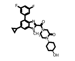 Cn1c(C(=O)N2CCN([C@H]3CC[C@H](O)CC3)C(=O)C2)nc2c(-c3cc(F)cc(F)c3)cc(C3CC3)cc21